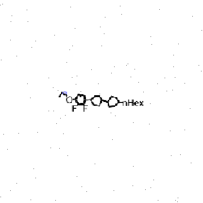 C/C=C\Oc1ccc(C2CCC(C3CCC(CCCCCC)CC3)CC2)c(F)c1F